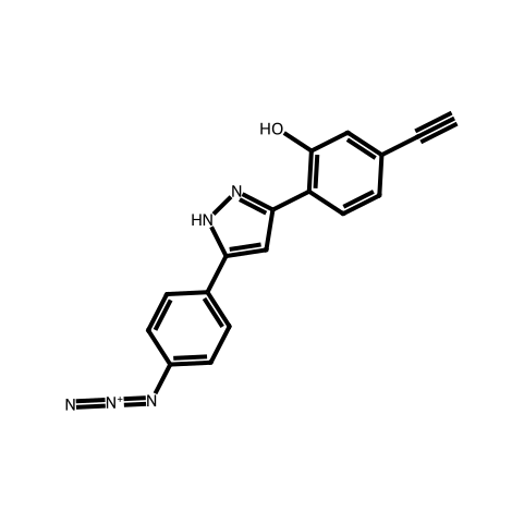 C#Cc1ccc(-c2cc(-c3ccc(N=[N+]=[N-])cc3)[nH]n2)c(O)c1